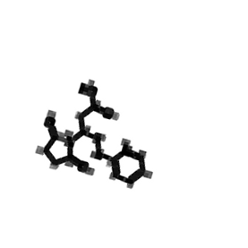 O=C(O)CC(SSc1ccccn1)N1C(=O)CCC1=O